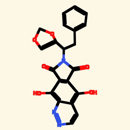 O=C1c2c(c(O)c3nnccc3c2O)C(=O)N1C(Cc1ccccc1)C1=COCO1